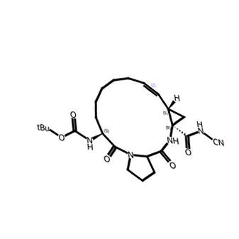 CC(C)(C)OC(=O)N[C@H]1CCCCC/C=C\[C@@H]2C[C@@]2(C(=O)NC#N)NC(=O)C2CCCN2C1=O